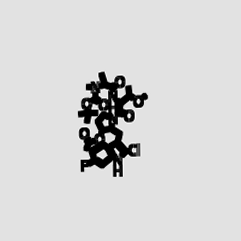 COC(C)C(NC(=O)C(C)N(C)C(=O)OC(C)(C)C)C(=O)N1CCC(OC(C)=O)C1Cc1c(Cl)[nH]c2cc(F)ccc12